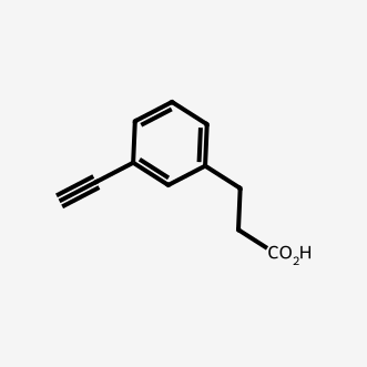 C#Cc1cccc(CCC(=O)O)c1